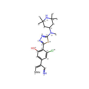 CN/C=C(\C=N)c1cc(O)c(-c2nnc(N(C)C3CC(C)(C)NC(C)(C)C3)s2)c(Cl)c1